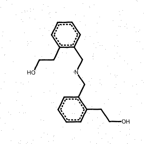 OCCc1ccccc1C[N]Cc1ccccc1CCO